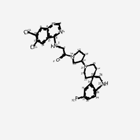 O=C(CNc1ncnc2cc(Cl)c(Cl)cc12)N1CCC(N2CCC3(CC2)CNc2ccc(F)cc23)C1